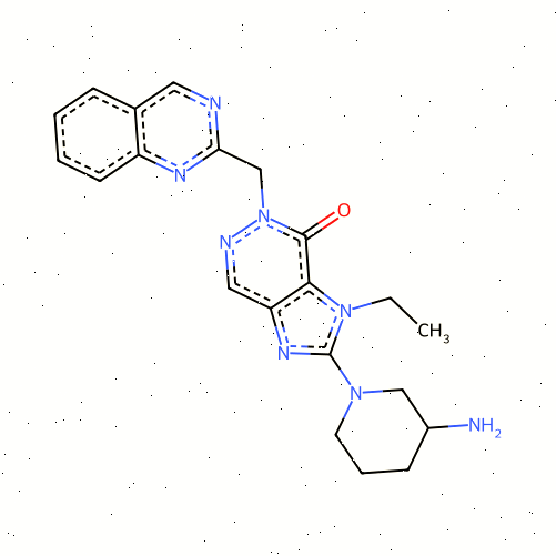 CCn1c(N2CCCC(N)C2)nc2cnn(Cc3ncc4ccccc4n3)c(=O)c21